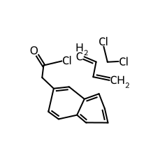 C=CC=C.ClCCl.O=C(Cl)Cc1ccc2ccccc2c1